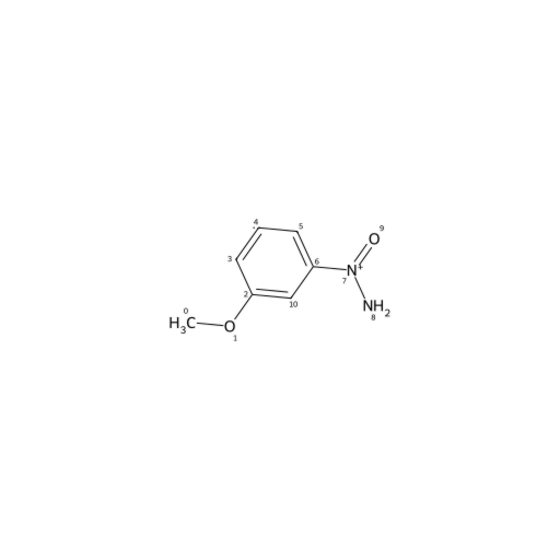 COc1c[c]cc([N+](N)=O)c1